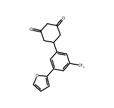 O=C1CC(=O)CC(c2cc(-c3ccco3)cc(C(F)(F)F)c2)C1